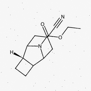 CCOC(=O)N1C2CC(C#N)CC1[C@H]1CCC21